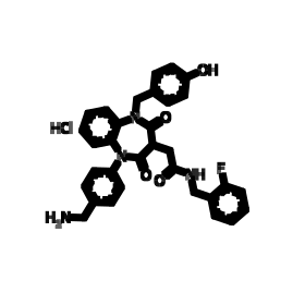 Cl.NCc1ccc(N2C(=O)C(CC(=O)NCc3ccccc3F)C(=O)N(Cc3ccc(O)cc3)c3ccccc32)cc1